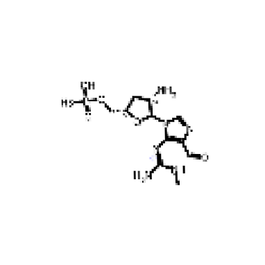 CN/C(N)=N\c1c(C=O)ncn1C1O[C@H](COP(=O)(O)S)C[C@@H]1N